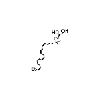 CC/C=C\C/C=C\C/C=C\C/C=C\C/C=C\CCC[C@H]1OC[C@@H]([C@H](O)CO)O1